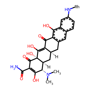 CN(C)[C@@H]1C(O)=C(C(N)=O)C(=O)[C@@]2(O)C(O)=C3C(=O)c4c(cc5ccc([NH][Rh])cc5c4O)C[C@H]3C[C@@H]12